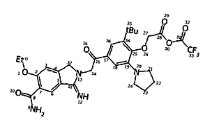 CCOc1cc2c(cc1C(N)=O)C(=N)N(CC(=O)c1cc(N3CCCC3)c(OCC(=O)OC(=O)C(F)(F)F)c(C(C)(C)C)c1)C2